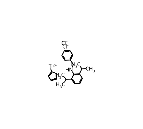 CC(C)c1cccc(C(C)C)c1NCc1ccccc1.[Cl-].[Cl-].[Ti+2][C]1=CC=CC1